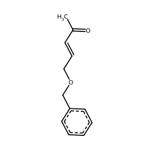 CC(=O)/C=C/COCc1ccccc1